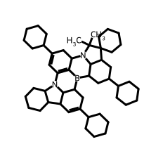 CC1(C)N2C3CC(C4CCCCC4)=CC4=C3B(C3CC(C5CCCCC5)=CC5C6CCCCC6N4C35)C3CC(C4CCCCC4)CC(C32)C12CCCCC2